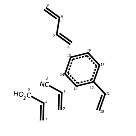 C=CC#N.C=CC(=O)O.C=CC=C.C=Cc1ccccc1